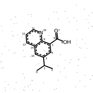 CC(C)c1cc(C(=O)O)c2ncccc2c1